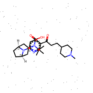 CN1CCC(CCC(=O)c2ccc(N3[C@@H]4CC[C@H]3C[C@@H](N(C(=O)O)C(C)(C)C)C4)nc2)CC1